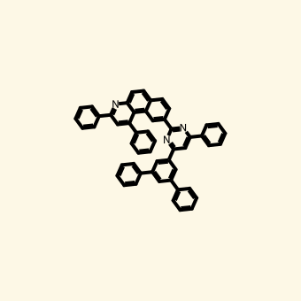 c1ccc(-c2cc(-c3ccccc3)cc(-c3cc(-c4ccccc4)nc(-c4ccc5ccc6nc(-c7ccccc7)cc(-c7ccccc7)c6c5c4)n3)c2)cc1